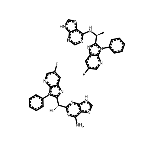 CC[C@@H](c1nc(N)c2nc[nH]c2n1)c1nc2cc(F)cnc2n1-c1ccccc1.C[C@H](Nc1ncnc2[nH]cnc12)c1nc2cc(F)cnc2n1-c1ccccc1